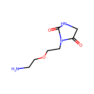 NCCOCCN1C(=O)CNC1=O